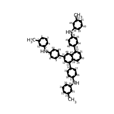 Cc1cccc(Nc2ccc(-c3cc(-c4ccc(Nc5cccc(C)c5)cc4)c4cccc(-c5ccc(Nc6cccc(C)c6)cc5)c4c3)cc2)c1